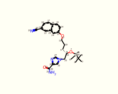 CC(C)(C)[Si](C)(C)O[C@@H](CCCOc1ccc2ccc(C#N)cc2c1)Cn1cnc(C(N)=O)c1